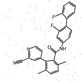 Cc1ccc(C)c(-c2ccnc(C#N)c2)c1C(=O)Nc1ccc(-c2ccccc2F)c(F)c1